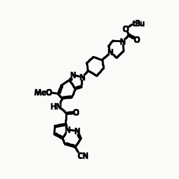 COc1cc2nn(C3CCC(N4CCN(C(=O)OC(C)(C)C)CC4)CC3)cc2cc1NC(=O)c1ccc2cc(C#N)cnn12